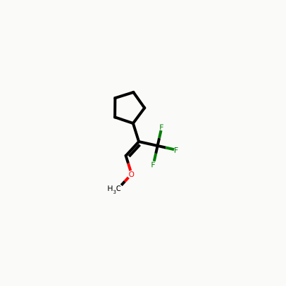 CO/C=C(/C1CCCC1)C(F)(F)F